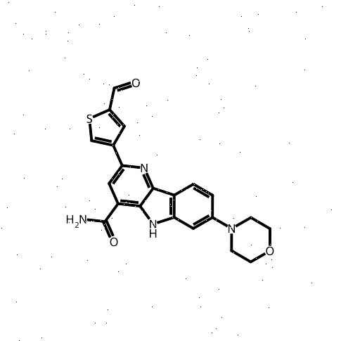 NC(=O)c1cc(-c2csc(C=O)c2)nc2c1[nH]c1cc(N3CCOCC3)ccc12